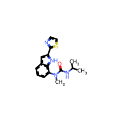 CC(C)NC(=O)N(C)c1cccc2cc(-c3nccs3)[nH]c12